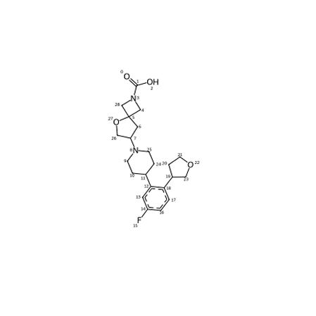 O=C(O)N1CC2(CC(N3CCC(c4cc(F)ccc4C4CCOC4)CC3)CO2)C1